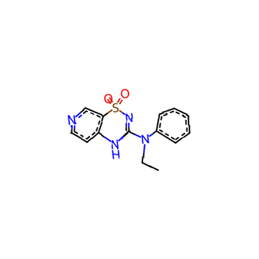 CCN(C1=NS(=O)(=O)c2cnccc2N1)c1ccccc1